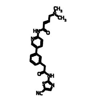 CN(C)C/C=C/C(=O)Nc1ccc(-c2cccc(CC(=O)Nc3ncc(C#N)s3)c2)cn1